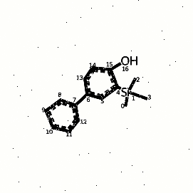 C[Si](C)(C)c1cc(-c2ccccc2)ccc1O